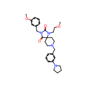 COCCN1C(=O)N(Cc2cccc(OC)c2)C(=O)C12CCN(Cc1cccc(N3CCCC3)c1)CC2